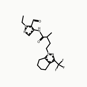 CCn1ncc(NC(=O)C(C)CCn2nc(C(F)(F)F)c3c2CCCC3)c1C=O